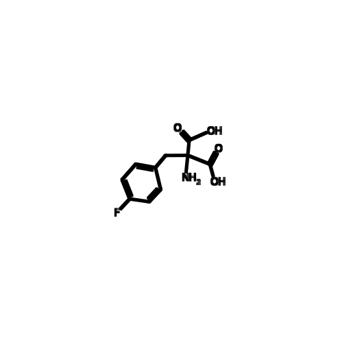 NC(Cc1ccc(F)cc1)(C(=O)O)C(=O)O